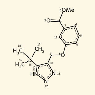 COC(=O)c1cccc(OCc2nn[nH]c2S(C)(C)C)c1